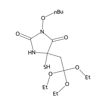 CCCCON1C(=O)NC(S)(CC(OCC)(OCC)OCC)C1=O